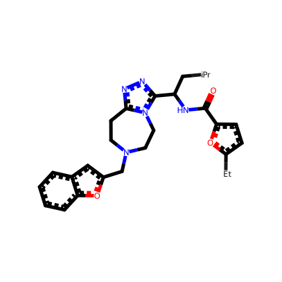 CCc1ccc(C(=O)NC(CC(C)C)c2nnc3n2CCN(Cc2cc4ccccc4o2)CC3)o1